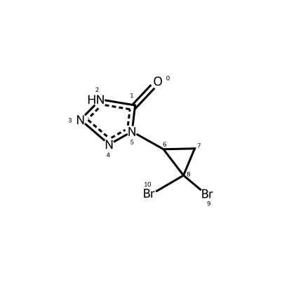 O=c1[nH]nnn1C1CC1(Br)Br